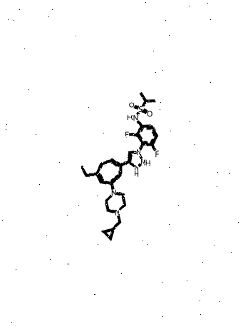 CCC1=CC(N2CCN(CC3CC3)CC2)=CC(C2=CN(c3c(F)ccc(NS(=O)(=O)C(C)C)c3F)NN2)=CC1